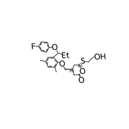 CCC(Oc1ccc(F)cc1)c1cc(C)cc(C)c1OC[C@@H]1CC(=O)O[C@@H](SCCO)C1